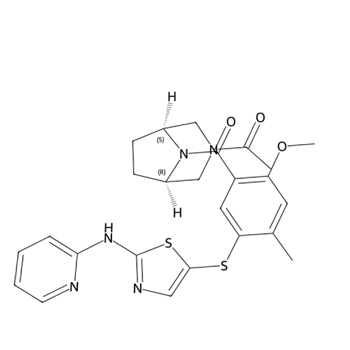 COc1cc(C)c(Sc2cnc(Nc3ccccn3)s2)cc1C(=O)N1[C@@H]2CC[C@H]1CN(C(C)=O)C2